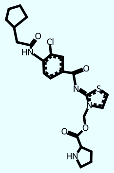 O=C(CC1CCCC1)Nc1ccc(C(=O)N=c2sccn2COC(=O)C2CCCN2)cc1Cl